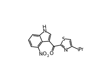 CC(C)c1csc(C(=O)c2c[nH]c3cccc([N+](=O)[O-])c23)n1